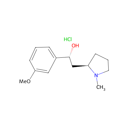 COc1cccc([C@H](O)C[C@H]2CCCN2C)c1.Cl